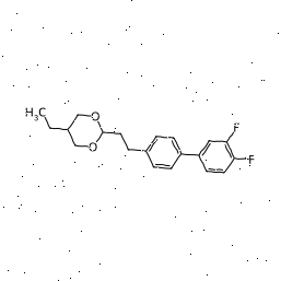 CCC1COC(CCc2ccc(-c3ccc(F)c(F)c3)cc2)OC1